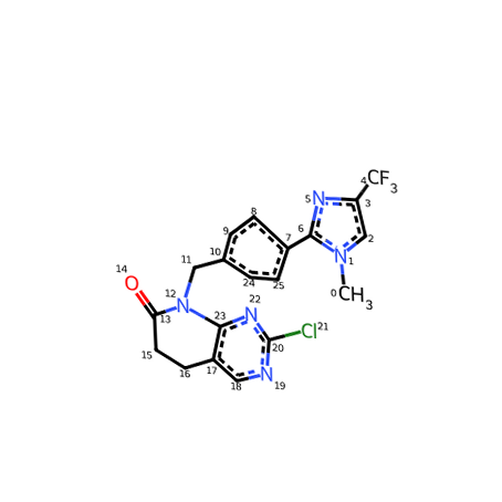 Cn1cc(C(F)(F)F)nc1-c1ccc(CN2C(=O)CCc3cnc(Cl)nc32)cc1